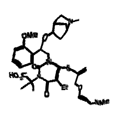 C=C(CO/C=C\NC)Sc1c(CC)c(=O)n(C(C)(C)C(=O)O)c(=O)n1CC(OC1CC2CC1CN2C)c1ccccc1OC